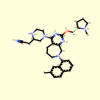 Cc1ccc2cccc(N3CCCc4c(nc(OC[C@@H]5CCCN5C)nc4N4CCNC(CC#N)C4)C3)c2c1